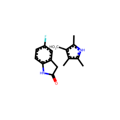 Cc1[nH]c(C)c(C(=O)O)c1C.O=C1Cc2cc(F)ccc2N1